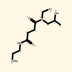 COCCNC(=O)CCC(=O)N(CC(C)=O)CC(C)O